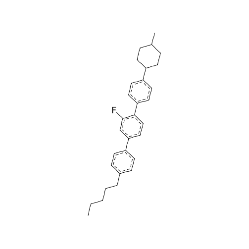 CCCCCc1ccc(-c2ccc(-c3ccc(C4CCC(C)CC4)cc3)c(F)c2)cc1